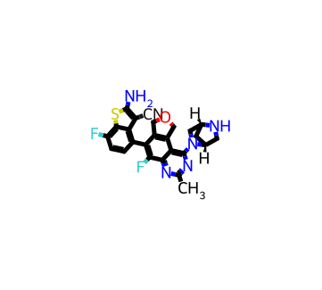 Cc1nc(N2C[C@H]3C[C@@H]2CN3)c2c3c(c(-c4ccc(F)c5sc(N)c(C#N)c45)c(F)c2n1)COC3